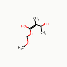 COCO/C(O)=C(/C)C(C)O